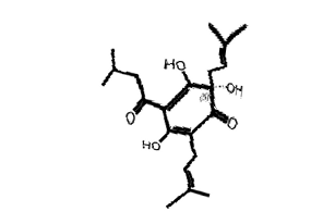 CC(C)=CCC1=C(O)C(C(=O)CC(C)C)=C(O)[C@@](O)(CC=C(C)C)C1=O